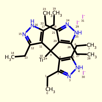 CCc1n[nH]c(CC)c1[C]([Ti+3])(c1c(CC)n[nH]c1CC)c1c(CC)n[nH]c1CC.[I-].[I-].[I-]